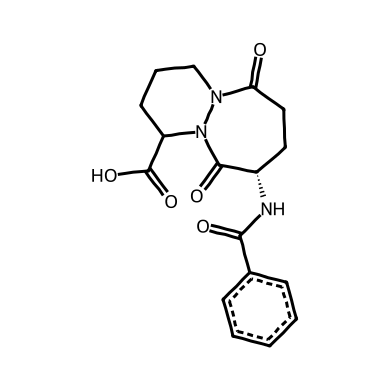 O=C(N[C@H]1CCC(=O)N2CCCC(C(=O)O)N2C1=O)c1ccccc1